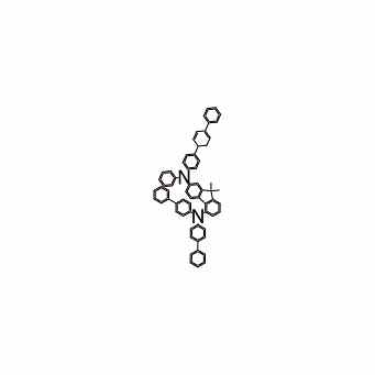 CC1(C)c2cc(N(c3ccccc3)c3ccc(C4C=CC(c5ccccc5)=CC4)cc3)ccc2-c2c(N(c3ccc(-c4ccccc4)cc3)c3ccc(-c4ccccc4)cc3)cccc21